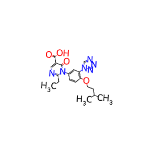 CCc1ncc(C(=O)O)c(=O)n1-c1ccc(OCCC(C)C)c(-n2cnnn2)c1